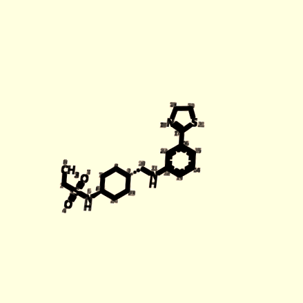 CCS(=O)(=O)N[C@H]1CC[C@H](CNc2cccc(C3=NCCS3)c2)CC1